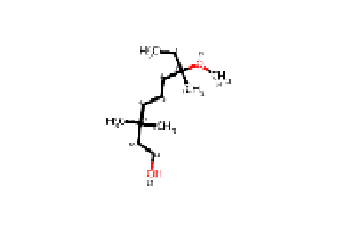 CCC(C)(CCCC(C)(C)CCO)OC